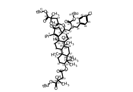 CC(C)C1=C2[C@H]3CCC4[C@@]5(C)CC[C@H](OC(=O)CC(C)(C)C(=O)OC(C)(C)C)C(C)(C)[C@@H]5CC[C@@]4(C)[C@]3(C)CC[C@@]2([C@H](CN(Cc2ccc(Cl)cc2)C(=O)OC(C)(C)C)OC(=O)CC(C)(C)C(=O)OC(C)(C)C)CC1=O